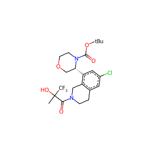 CC(C)(C)OC(=O)N1CCOC[C@H]1c1cc(Cl)cc2c1CN(C(=O)C(C)(O)C(F)(F)F)CC2